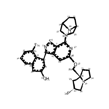 Oc1cc(-c2nsc3c(N4CC5CCC(C4)N5)nc(OC[C@@]45CCCN4C[C@H](F)C5)cc23)c2c(F)cccc2c1